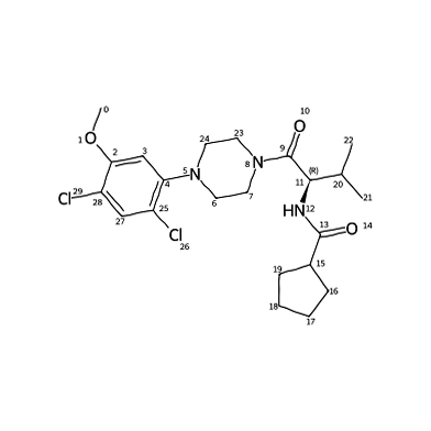 COc1cc(N2CCN(C(=O)[C@H](NC(=O)C3CCCC3)C(C)C)CC2)c(Cl)cc1Cl